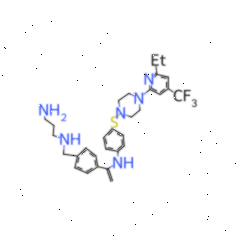 C=C(Nc1ccc(SN2CCN(c3cc(C(F)(F)F)cc(CC)n3)CC2)cc1)c1ccc(CNCCCN)cc1